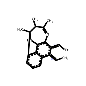 C/C=c1\c(=C/C(C)C)c2c3c4c(cccc14)C(C)(N3)C(C)C(C)=N2